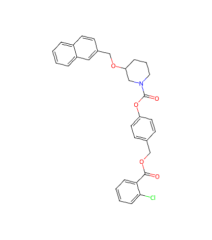 O=C(OCc1ccc(OC(=O)N2CCCC(OCc3ccc4ccccc4c3)C2)cc1)c1ccccc1Cl